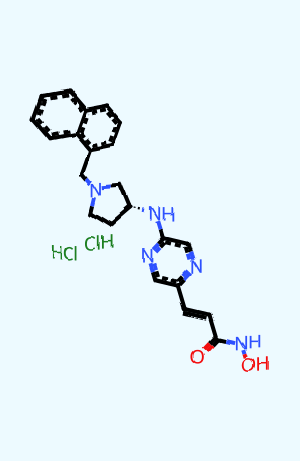 Cl.Cl.O=C(/C=C/c1cnc(N[C@@H]2CCN(Cc3cccc4ccccc34)C2)cn1)NO